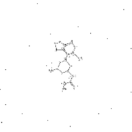 CC(C)(C)OC(=O)NC1CC(C(F)(F)F)CN(c2c(N)cnc3c2CCC3)C1